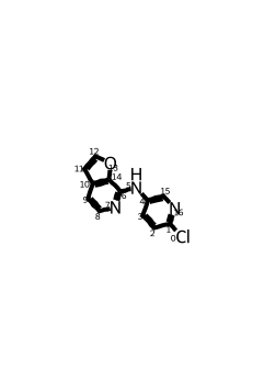 Clc1ccc(Nc2nccc3ccoc23)cn1